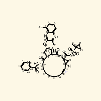 Cc1nc2cccc(F)c2nc1O[C@@H]1C[C@H]2C(=O)N[C@]3(C(=O)NS(=O)(=O)C4(C)CC4)C[C@H]3/C=C\CCCCC[C@H](NC(=O)c3cnccn3)C(=O)N2C1